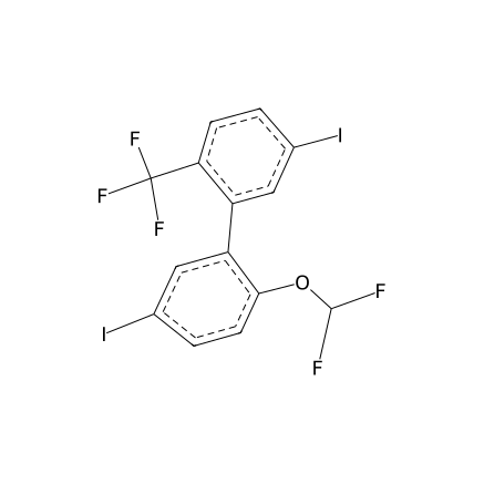 FC(F)Oc1ccc(I)cc1-c1cc(I)ccc1C(F)(F)F